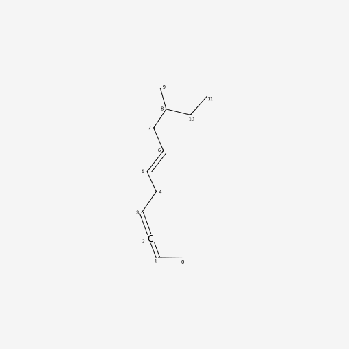 CC=C=CCC=CCC(C)CC